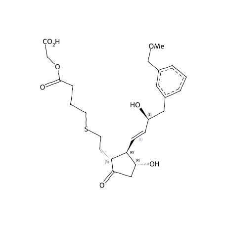 COCc1cccc(C[C@H](O)/C=C/[C@H]2[C@H](O)CC(=O)[C@@H]2CCSCCCC(=O)OCC(=O)O)c1